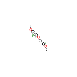 CCCCOc1ccc(C2CCC(COc3ccc(-c4ccc(OCCC)cc4)c(F)c3F)CC2)cc1F